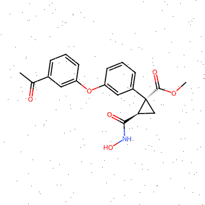 COC(=O)[C@]1(c2cccc(Oc3cccc(C(C)=O)c3)c2)C[C@H]1C(=O)NO